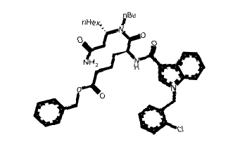 CCCCCC[C@@H](CC(N)=O)N(CCCC)C(=O)[C@H](CCCC(=O)OCc1ccccc1)NC(=O)c1cn(Cc2ccccc2Cl)c2ccccc12